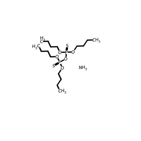 CCCCOP(=S)(OCCCC)OP(=S)(OCCCC)OCCCC.N